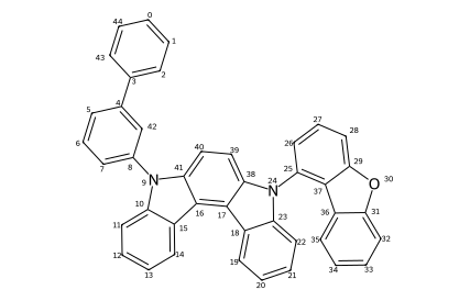 c1ccc(-c2cccc(-n3c4ccccc4c4c5c6ccccc6n(-c6cccc7oc8ccccc8c67)c5ccc43)c2)cc1